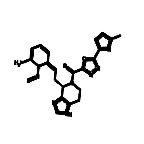 Cn1ccc(-c2nnc(C(=O)N3CCc4[nH]cnc4[C@@H]3C/C=C3/C=CC=C(P)N3N=S)o2)n1